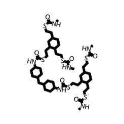 CNC(=O)SCCC1CCC(CCSC(=O)NC)C(CCSC(=O)NC2CCC(CC3CCC(NC(=O)SCCC4CC(CCSC(=O)NC)CCC4CCSC(=O)NC)CC3)CC2)C1